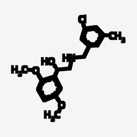 COc1ccc(OC)c([C@@H](O)CNCc2cc(C)cc(Cl)c2)c1